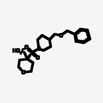 O=C(O)C1(S(=O)(=O)N2CCC(COCc3ccccc3)CC2)CCOCC1